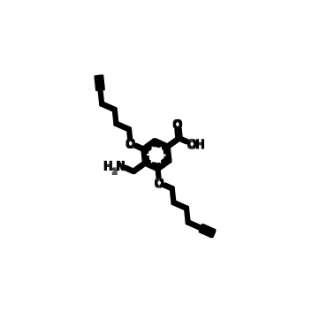 C#CCCCCOc1cc(C(=O)O)cc(OCCCCC#C)c1CN